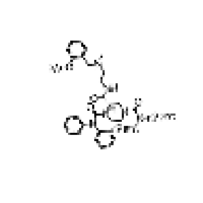 CCCCCN(CCCCC)C(=O)N1CCN(C(=O)N(c2ccccc2)c2ccccc2)[C@H](C(=O)NCCN(C)Cc2ccccc2OC)C1